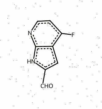 O=Cc1cc2c(F)ccnc2[nH]1